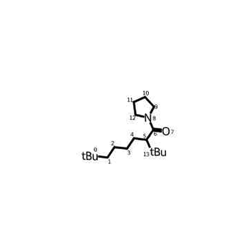 CC(C)(C)CCCCC(C(=O)N1CCCC1)C(C)(C)C